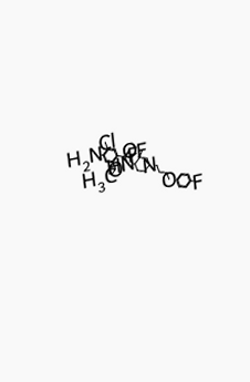 COc1cc(N)c(Cl)cc1C(=O)NC1CCN(CCCOc2ccc(F)cc2)CC1(F)F